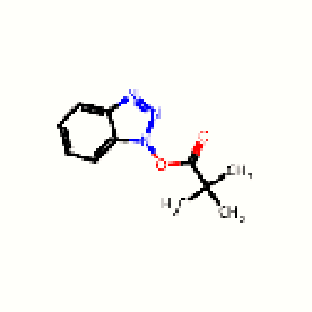 CC(C)(C)C(=O)On1nnc2ccccc21